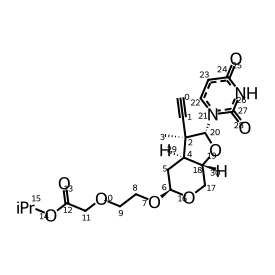 C#C[C@]1(C)[C@@H]2C[C@H](OCCOCC(=O)OC(C)C)OC[C@H]2O[C@H]1n1ccc(=O)[nH]c1=O